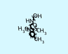 CSc1c(CC(=O)NCCO)n(C)c2ccc(C)cc12